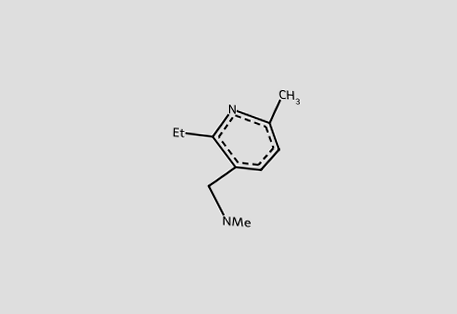 CCc1nc(C)ccc1CNC